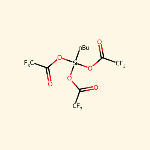 CCCC[Si](OC(=O)C(F)(F)F)(OC(=O)C(F)(F)F)OC(=O)C(F)(F)F